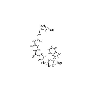 CN(CC=CC(=O)Nc1ccc(C(=O)N2CC[C@@H](Nc3ncc(C#N)c(-c4c[nH]c5ccccc45)n3)C2)cc1)CCO